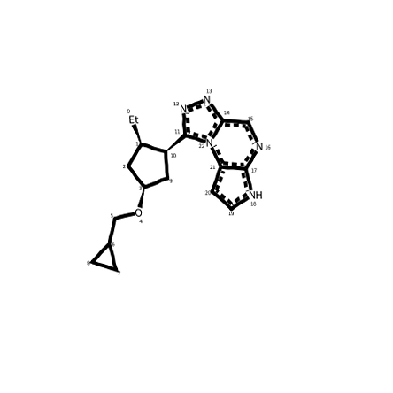 CC[C@@H]1C[C@H](OCC2CC2)C[C@@H]1c1nnc2cnc3[nH]ccc3n12